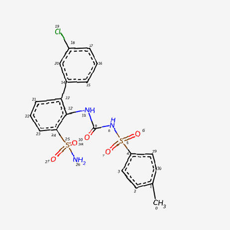 Cc1ccc(S(=O)(=O)NC(=O)Nc2c(-c3cccc(Cl)c3)cccc2S(N)(=O)=O)cc1